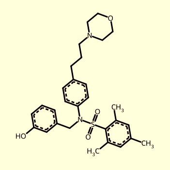 Cc1cc(C)c(S(=O)(=O)N(Cc2cccc(O)c2)c2ccc(CCCN3CCOCC3)cc2)c(C)c1